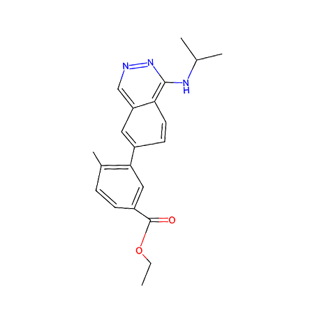 CCOC(=O)c1ccc(C)c(-c2ccc3c(NC(C)C)nncc3c2)c1